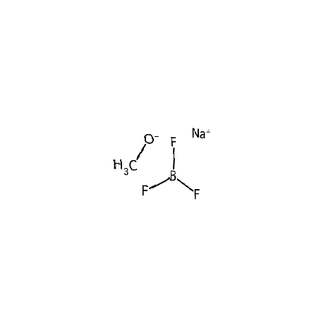 C[O-].FB(F)F.[Na+]